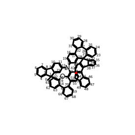 CC1(C)c2ccccc2-c2ccc(N(c3ccc4c(c3)C3(c5ccccc5-c5ccccc5-4)c4ccccc4-c4c3ccc3c4-c4ccccc4C3)c3cccc4c3Oc3ccccc3-c3ccccc3-4)cc21